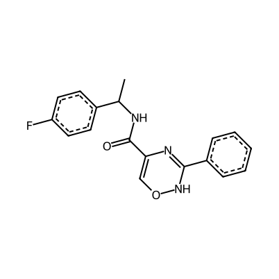 CC(NC(=O)C1=CONC(c2ccccc2)=N1)c1ccc(F)cc1